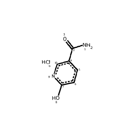 Cl.NC(=O)c1ccc(O)nc1